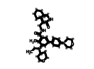 CCN(c1cc(-c2ccc(N3CCOCC3)cc2)cc(C(=O)NCc2c3c(c[nH]c2=O)CCCC3)c1C)C1CCOCC1